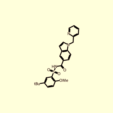 COc1ccc(C(C)(C)C)cc1S(=O)(=O)NC(=O)c1ccc2c(ccn2Cc2ccccn2)c1